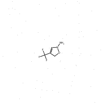 NN1C=C(C(F)(F)F)CO1